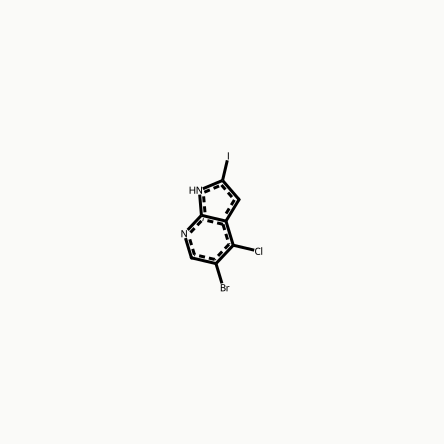 Clc1c(Br)cnc2[nH]c(I)cc12